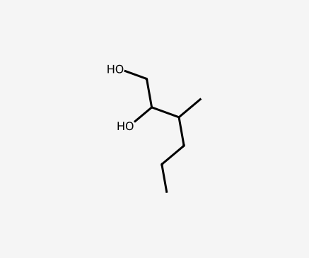 CCCC(C)C(O)CO